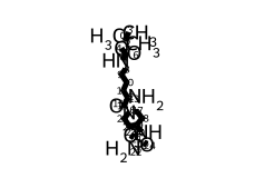 CC(C)(C)OC(=O)NCCCCC(N)C(=O)N1CCC(NS(N)(=O)=O)CC1